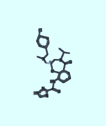 CC(C)N1C[C@@H](CN(C)Cc2ccc(Cl)cc2)Oc2c(NC(=O)c3nc[nH]n3)cccc2C1=O